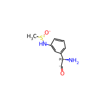 C[S+]([O-])Nc1cccc([C@@H](N)[C]=O)c1